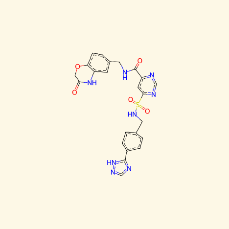 O=C1COc2ccc(CNC(=O)c3cc(S(=O)(=O)NCc4ccc(-c5ncn[nH]5)cc4)ncn3)cc2N1